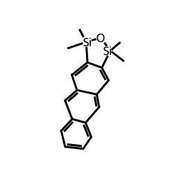 C[Si]1(C)O[Si](C)(C)c2cc3cc4ccccc4cc3cc21